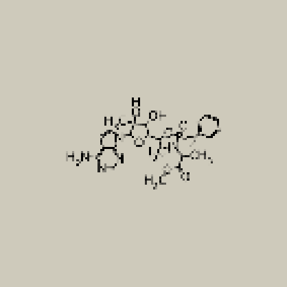 COC(=O)[C@H](C)NP(=O)(Oc1ccccc1)O[C@@H](C)[C@H]1O[C@@H](n2ccc3c(N)ncnc32)[C@](C)(O)[C@@H]1O